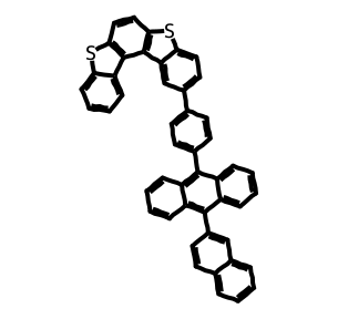 c1ccc2cc(-c3c4ccccc4c(-c4ccc(-c5ccc6sc7ccc8sc9ccccc9c8c7c6c5)cc4)c4ccccc34)ccc2c1